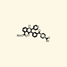 COC(=O)c1cccc2c1C(=O)C(c1cccc(C(=O)N3CCN(C(=O)C(C)C)CC3)c1)C(c1ccncc1)N2